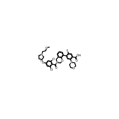 COCCN1CC[C@H](Oc2cc(Cl)c(C(=O)N3COc4c(cccc4-c4cc(N5CCOCC5)c(C(=O)O)cc4F)C3)c(Cl)c2)C1